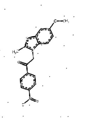 COc1ccc2c(c1)sc(C)[n+]2CC(=O)c1ccc([N+](=O)[O-])cc1